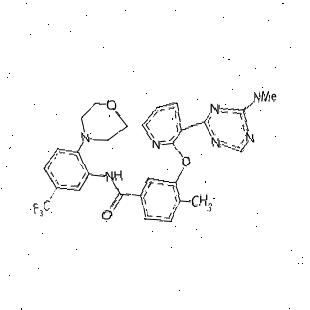 CNc1ncnc(-c2cccnc2Oc2cc(C(=O)Nc3cc(C(F)(F)F)ccc3N3CCOCC3)ccc2C)n1